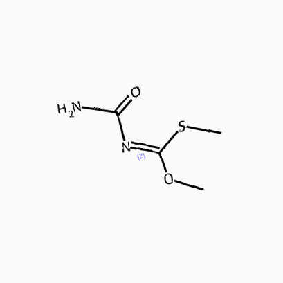 CO/C(=N/C(N)=O)SC